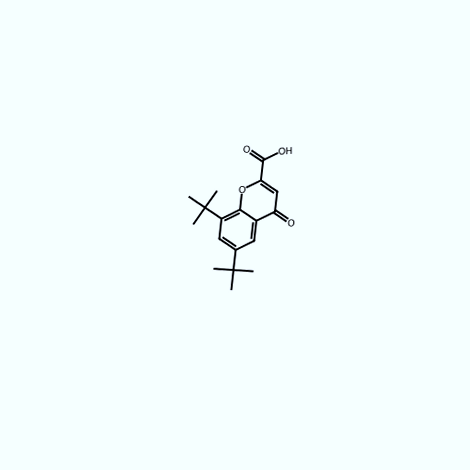 CC(C)(C)c1cc(C(C)(C)C)c2oc(C(=O)O)cc(=O)c2c1